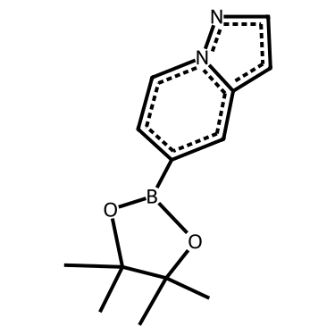 CC1(C)OB(c2ccn3nccc3c2)OC1(C)C